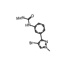 CNC(=O)Nc1cccc(-c2nn(C)cc2Br)c1